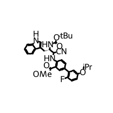 COC(=O)c1cc(-c2cc(OC(C)C)ccc2F)ccc1NC(C#N)[C@H](Cc1c[nH]c2ccccc12)NC(=O)OC(C)(C)C